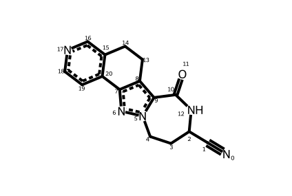 N#CC1CCn2nc3c(c2C(=O)N1)CCc1cnccc1-3